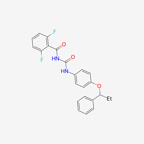 CCC(Oc1ccc(NC(=O)NC(=O)c2c(F)cccc2F)cc1)c1ccccc1